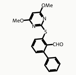 COc1cc(OC)nc(Sc2cccc(-c3ccccc3)c2C=O)n1